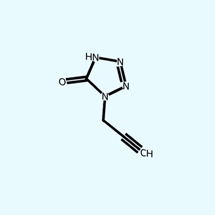 C#CCn1nn[nH]c1=O